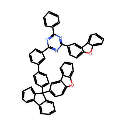 c1ccc(-c2nc(-c3cccc(-c4ccc(C5(c6ccc7oc8ccccc8c7c6)c6ccccc6-c6ccccc65)cc4)c3)nc(-c3ccc4oc5ccccc5c4c3)n2)cc1